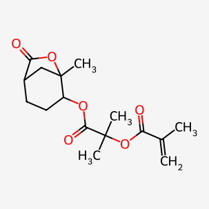 C=C(C)C(=O)OC(C)(C)C(=O)OC1CCC2CC1(C)OC2=O